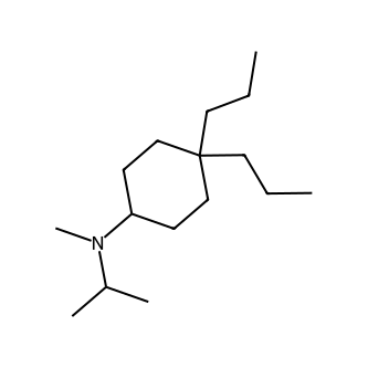 CCCC1(CCC)CCC(N(C)C(C)C)CC1